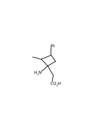 CC(C)C1CC(N)(CC(=O)O)C1C